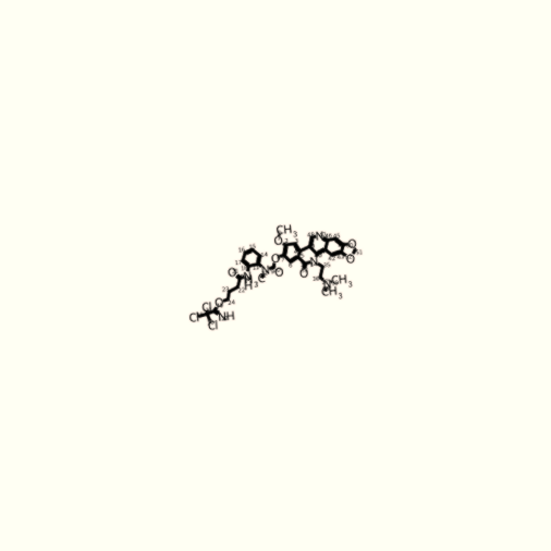 COc1cc2c(cc1OC(=O)N(C)c1ccccc1NC(=O)CCCOC(=N)C(Cl)(Cl)Cl)c(=O)n(CCN(C)C)c1c3cc4c(cc3ncc21)OCO4